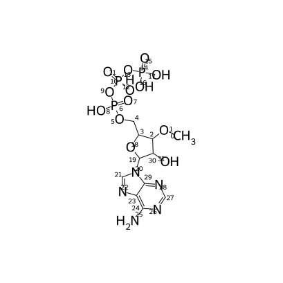 COC1C(COP(=O)(O)OP(=O)(O)OP(=O)(O)O)OC(n2cnc3c(N)ncnc32)C1O